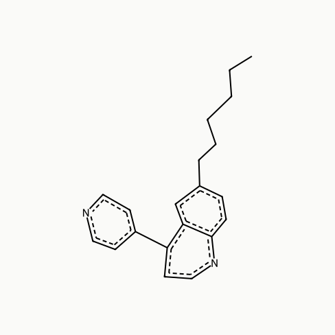 CCCCCCc1ccc2nccc(-c3ccncc3)c2c1